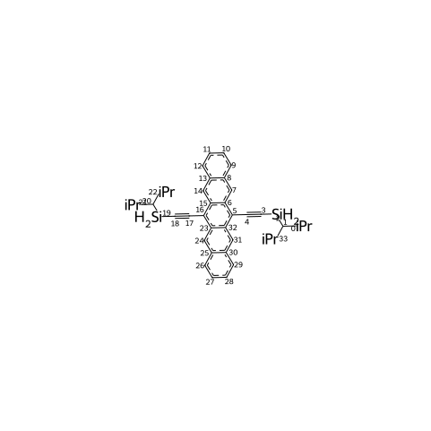 CC(C)C([SiH2]C#Cc1c2cc3ccccc3cc2c(C#C[SiH2]C(C(C)C)C(C)C)c2cc3ccccc3cc12)C(C)C